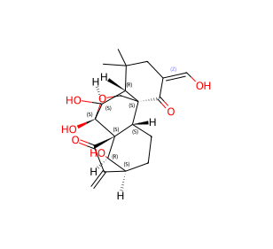 C=C1C(=O)[C@]23[C@H](O)[C@H]1CC[C@H]2[C@@]12CO[C@]3(O)[C@@H](O)[C@@H]1C(C)(C)C/C(=C/O)C2=O